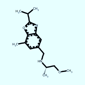 COC[C@H](C)NCc1cc(C)c2oc(C(C)C)nc2c1